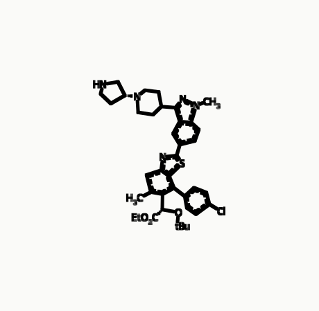 CCOC(=O)[C@@H](OC(C)(C)C)c1c(C)cc2nc(-c3ccc4c(c3)c(C3CCN([C@@H]5CCNC5)CC3)nn4C)sc2c1-c1ccc(Cl)cc1